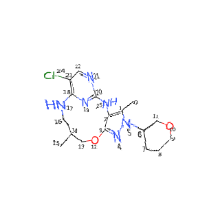 Cc1c2c(nn1C1CCCOC1)OCC(C)CNc1nc(ncc1Cl)N2